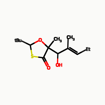 CC/C=C(\C)C(O)C1(C)OC(C(C)(C)C)SC1=O